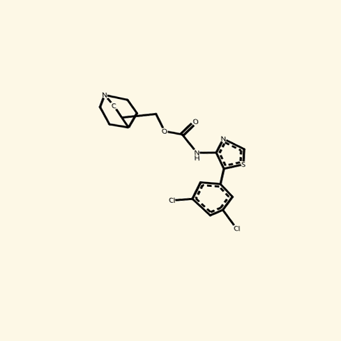 O=C(Nc1ncsc1-c1cc(Cl)cc(Cl)c1)OCC1CN2CCC1CC2